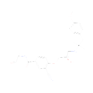 COc1ccc(CC(C)(C)NC[C@@H](O)COc2ccc(C(=O)N[C@@H](C)C=O)cc2C#N)cc1